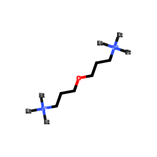 CC[N+](CC)(CC)CCCOCCC[N+](CC)(CC)CC